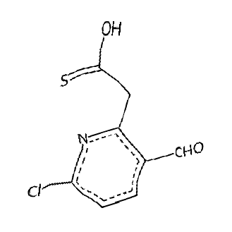 O=Cc1ccc(Cl)nc1CC(O)=S